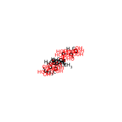 C=C(C)[C@@H]1CC[C@]2(C(=O)O[C@@H]3O[C@H](CO[C@@H]4O[C@H](CO)[C@@H](O[C@@H]5O[C@@H](C)[C@H](O)[C@@H](O)[C@H]5O)[C@H](O)[C@H]4O)[C@@H](O)[C@H](O)[C@H]3O)CC[C@]3(C)[C@H](CC[C@@H]4[C@@]5(C)CC[C@H](O[C@@H]6OC[C@H](O[C@@H]7O[C@H](CO)[C@@H](O)[C@H](O)[C@H]7O)[C@H](O)[C@H]6O[C@@H]6O[C@@H](C)[C@H](O)[C@@H](O)[C@H]6O)C(C)(C)[C@@H]5CC[C@]43C)[C@@H]12